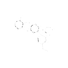 COc1cccc(F)c1Oc1ccc([N+]2(S(=O)(=O)CC(F)(F)F)C=CC(CN)=CC2)cc1